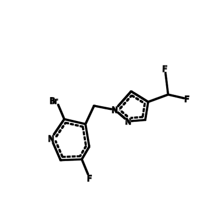 Fc1cnc(Br)c(Cn2cc(C(F)F)cn2)c1